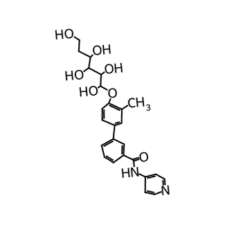 Cc1cc(-c2cccc(C(=O)Nc3ccncc3)c2)ccc1OC(O)C(O)C(O)C(O)CCO